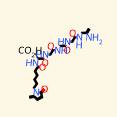 C=C(N)CNC(=O)CNC(=O)CNC(=O)CNC(=O)[C@H](CC(=O)O)NC(=O)CCCCCN1C(=C)C=CC1=O